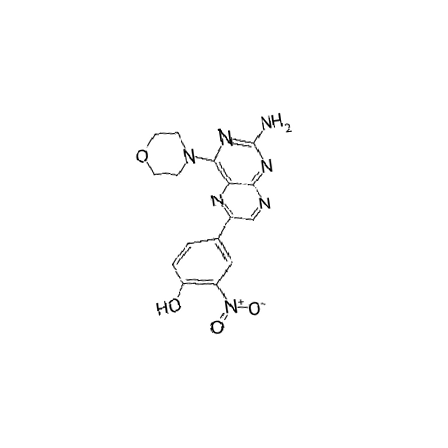 Nc1nc(N2CCOCC2)c2nc(-c3ccc(O)c([N+](=O)[O-])c3)cnc2n1